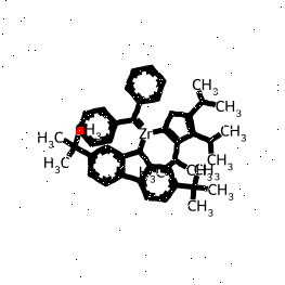 CC(C)C1=C(C(C)C)C(C(C)C)=[C]([Zr](=[C](c2ccccc2)c2ccccc2)[CH]2c3cc(C(C)(C)C)ccc3-c3ccc(C(C)(C)C)cc32)C1